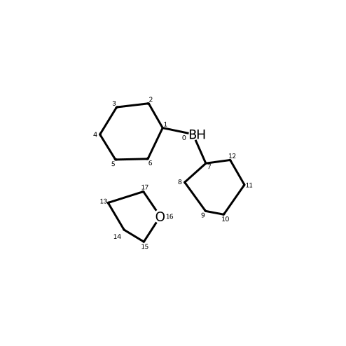 B(C1CCCCC1)C1CCCCC1.C1CCOC1